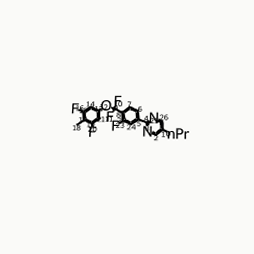 CCCc1cnc(-c2ccc(C(F)(F)Oc3cc(F)c(C)c(F)c3)c(F)c2)nc1